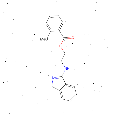 COc1ccccc1C(=O)OCCNC1=NCc2ccccc21